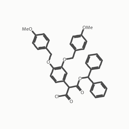 COc1ccc(COc2ccc(C(C(=O)Cl)C(=O)OC(c3ccccc3)c3ccccc3)cc2OCc2ccc(OC)cc2)cc1